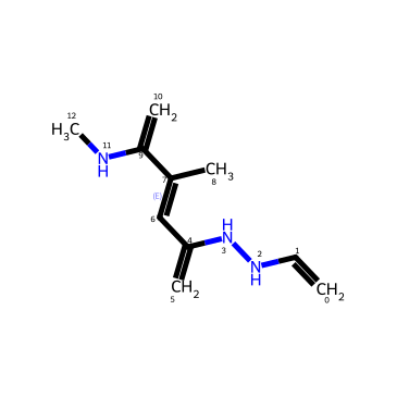 C=CNNC(=C)/C=C(\C)C(=C)NC